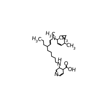 CCCC(/C=C/N(C)C(C)/C=C\C(C)C1CC1)CCCCCNC1C=NC=CC1C(=O)O